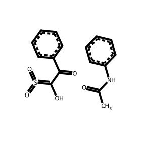 CC(=O)Nc1ccccc1.O=C(C(O)=S(=O)=O)c1ccccc1